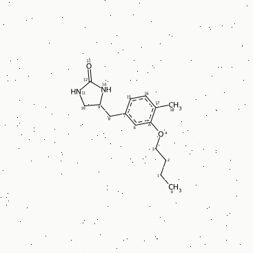 CCCCOc1cc(CC2CNC(=O)N2)ccc1C